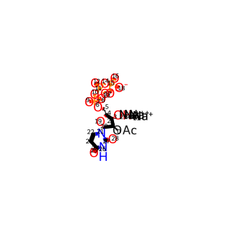 CC(=O)O[C@@H]1[C@H](O)[C@@H](COP(=O)([O-])OP(=O)([O-])OP(=O)([O-])[O-])O[C@H]1n1ccc(=O)[nH]c1=O.[Na+].[Na+].[Na+].[Na+]